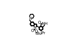 CC(C)c1cc2c(c(-c3cc4cc(CN5CCCCC5)ccc4n3C(=O)OC(C)(C)C)c1)C(=O)NC2